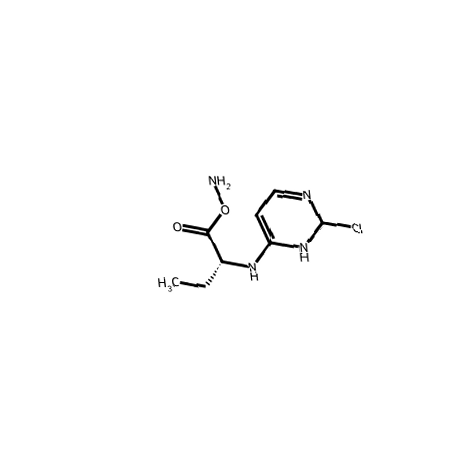 CC[C@@H](NC1=CC=NC(Cl)N1)C(=O)ON